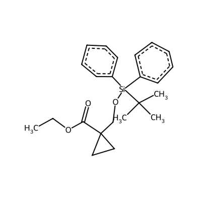 CCOC(=O)C1(CO[Si](c2ccccc2)(c2ccccc2)C(C)(C)C)CC1